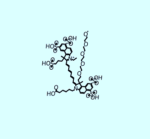 CC[N+]1=C(/C=C/C=C/C=C/C=C2/N(CCCCCC(=O)O)c3ccc4c(S(=O)(=O)O)cc(S(=O)(=O)O)cc4c3C2(C)CCOCCOCCOCCOCCOC)C(C)(CCCS(=O)(=O)O)c2c1ccc1c(S(=O)(=O)O)cc(S(=O)(=O)O)cc21